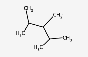 [CH2]C(C(C)C)C(C)C